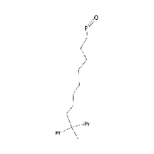 CCC(C)(CCCCCCCCP=O)C(C)C